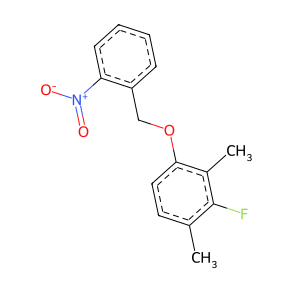 Cc1ccc(OCc2ccccc2[N+](=O)[O-])c(C)c1F